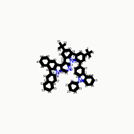 CC(C)(C)c1cc(-c2ccc3c(c2)c2ccccc2n3-c2ccccc2)c2c(c1)c1cc(C(C)(C)C)cc3c4c5c6cc7ccccc7c7c8cc9ccccc9cc8n(c5cnc4n2c13)c67